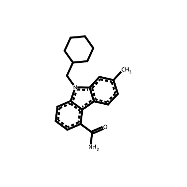 Cc1c[c]c2c3c(C(N)=O)cccc3n(CC3CCCCC3)c2c1